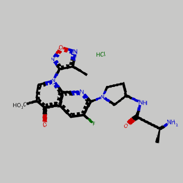 Cc1nonc1-n1cc(C(=O)O)c(=O)c2cc(F)c(N3CCC(NC(=O)[C@H](C)N)C3)nc21.Cl